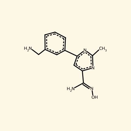 Cc1nc(C(N)=NO)cc(-c2cccc(CN)c2)n1